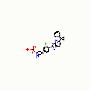 CN1C[C@@H](c2ccc(-c3nc4ccc(C5(c6ccccc6)CC5)nc4s3)c(F)c2)C[C@@H]1OC(=O)O